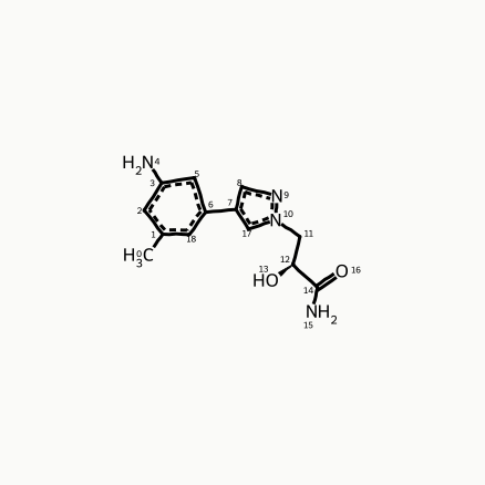 Cc1cc(N)cc(-c2cnn(C[C@H](O)C(N)=O)c2)c1